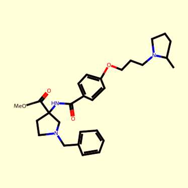 COC(=O)C1(NC(=O)c2ccc(OCCCN3CCCC3C)cc2)CCN(Cc2ccccc2)C1